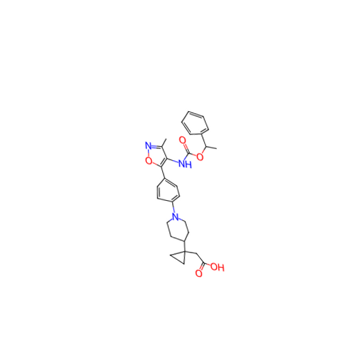 Cc1noc(-c2ccc(N3CCC(C4(CC(=O)O)CC4)CC3)cc2)c1NC(=O)OC(C)c1ccccc1